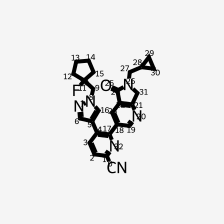 N#Cc1ccc(-c2cnn(CC3(F)CCCC3)c2)c(-c2cnc3c(c2)C(=O)N(CC2CC2)C3)n1